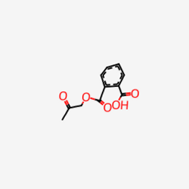 CC(=O)COC(=O)c1ccccc1C(=O)O